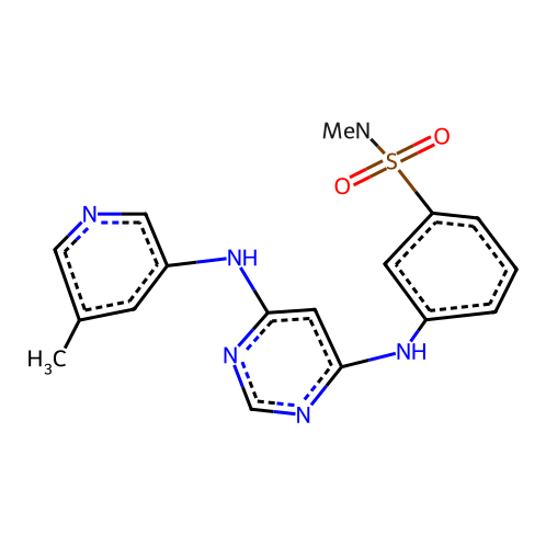 CNS(=O)(=O)c1cccc(Nc2cc(Nc3cncc(C)c3)ncn2)c1